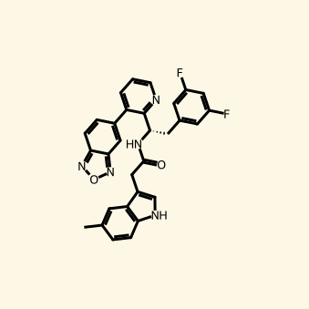 Cc1ccc2[nH]cc(CC(=O)N[C@@H](Cc3cc(F)cc(F)c3)c3ncccc3-c3ccc4nonc4c3)c2c1